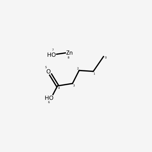 CCCCC(=O)O.[OH][Zn]